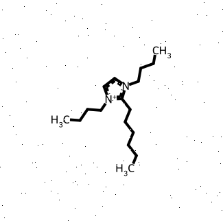 CCCCCCc1n(CCCC)cc[n+]1CCCC